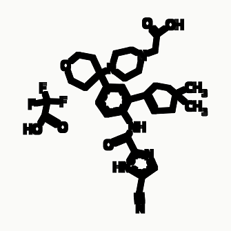 CC1(C)CC=C(c2cc(C3(N4CCN(CC(=O)O)CC4)CCOCC3)ccc2NC(=O)c2ncc(C#N)[nH]2)CC1.O=C(O)C(F)(F)F